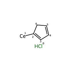 Cl.[Ce][C]1=CC=CC1